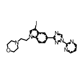 Ic1cn(CCN2CCOCC2)c2ccc(-c3ncn(-c4ncccn4)n3)cc12